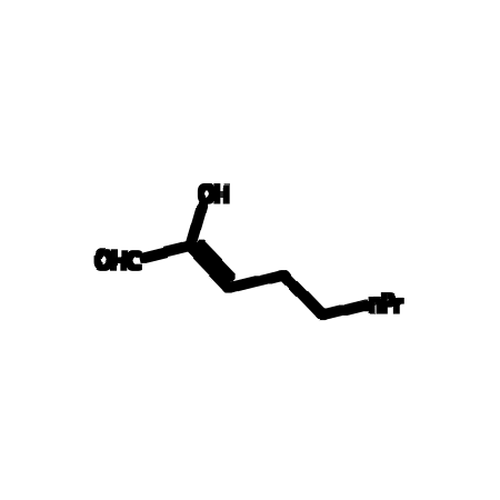 CCCCC/C=C(\O)C=O